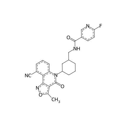 Cc1onc2c1c(=O)n(C1CCCC(CNC(=O)c3ccc(F)nc3)C1)c1cccc(C#N)c21